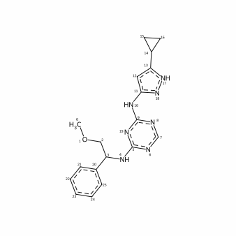 COCC(Nc1ncnc(Nc2cc(C3CC3)[nH]n2)n1)c1ccccc1